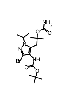 CC(C)n1nc(Br)c(NC(=O)OC(C)(C)C)c1CC(C)(C)OC(N)=O